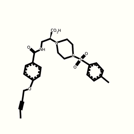 CC#CCOc1ccc(C(=O)NC[C@@H](C(=O)O)N2CCN(S(=O)(=O)c3ccc(C)cc3)CC2)cc1